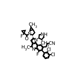 Cc1nc2c(F)c(-c3cccc(Cl)c3Cl)c(CCC#N)cc2c2c1cc([C@H]1CC3C(C)C3N1C(=O)C1(F)CC1)n2[C@@H]1CNC[C@H]1C